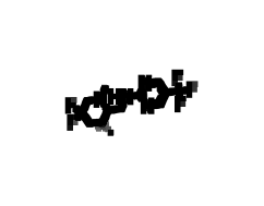 C[C@@H]1CC(F)(F)CN(C)C1CNc1ncc(C(F)(F)F)cn1